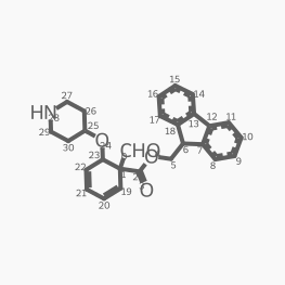 O=CC1(C(=O)OCC2c3ccccc3-c3ccccc32)C=CC=CC1OC1CCNCC1